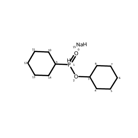 O=[PH](OC1CCCCC1)C1CCCCC1.[NaH]